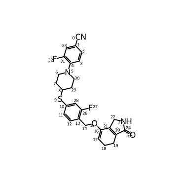 N#Cc1ccc(N2CCC(Sc3ccc(COC4=CCCC5=C4CNC5=O)c(F)c3)CC2)c(F)c1